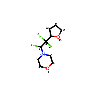 FC(N1CCOCC1)C(F)(F)C1CCCO1